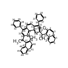 Cc1ccc2ccccc2c1C(C)c1cc(-c2ccccc2)c2ccc3c(-c4ccccc4)cc(C(C)c4c(C)ccc5ccccc45)nc3c2n1